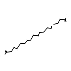 O=C(O)CCCCCCCCCCCCCNCCC(=O)O